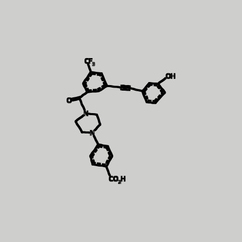 O=C(O)c1ccc(N2CCN(C(=O)c3cc(C#Cc4cccc(O)c4)cc(C(F)(F)F)c3)CC2)cc1